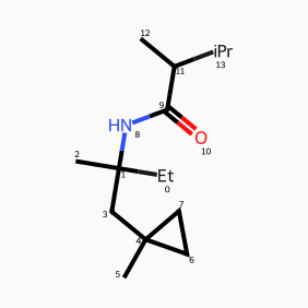 CCC(C)(CC1(C)CC1)NC(=O)C(C)C(C)C